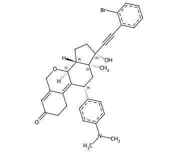 CN(C)c1ccc([C@H]2C[C@@]3(C)[C@@H](CC[C@@]3(O)C#Cc3ccccc3Br)[C@@H]3OCC4=CC(=O)CCC4=C32)cc1